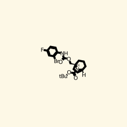 CC(C)(C)OC(=O)N1[C@@H]2CCC[C@@]1(COC(=O)Nc1ccc(F)cc1Br)CC2